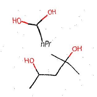 CC(O)CC(C)(C)O.CCCC(O)O